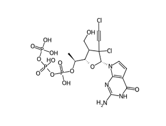 C[C@H](OP(=O)(O)OP(=O)(O)OP(=O)(O)O)[C@H]1O[C@@H](n2ccc3c(=O)[nH]c(N)nc32)C(Cl)(C#CCl)C1CO